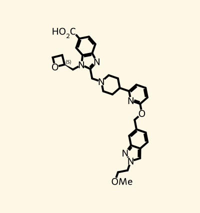 COCCn1cc2ccc(COc3cccc(C4CCN(Cc5nc6ccc(C(=O)O)cc6n5C[C@@H]5CCO5)CC4)n3)cc2n1